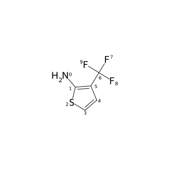 Nc1sccc1C(F)(F)F